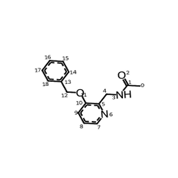 CC(=O)NCc1ncccc1OCc1ccccc1